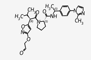 Cc1nccn1-c1ccc([C@H](C)NC(=O)[C@@H]2CCCN2C(=O)[C@@H](c2cc(OCC=O)no2)C(C)C)cc1